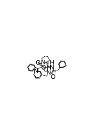 O=C(NCc1cccnc1)[C@@H](Cc1ccccc1)NC(=O)[C@@H]1CCCCN1S(=O)(=O)Cc1ccccc1